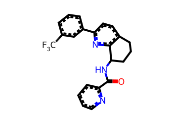 O=C(NC1CCCc2ccc(-c3cccc(C(F)(F)F)c3)nc21)c1ccccn1